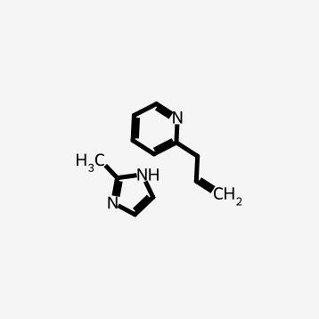 C=CCc1ccccn1.Cc1ncc[nH]1